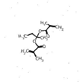 C=C(C)C(=O)OC(C)(CC)OC(=O)C(=C)C